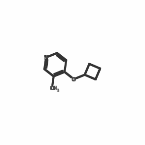 Cc1cnccc1OC1CCC1